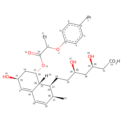 CCC(Oc1ccc(C(C)C)cc1)C(=O)O[C@H]1C[C@H](O)C=C2C=C[C@H](C)[C@H](CC[C@@H](O)C[C@@H](O)CC(=O)O)[C@H]21